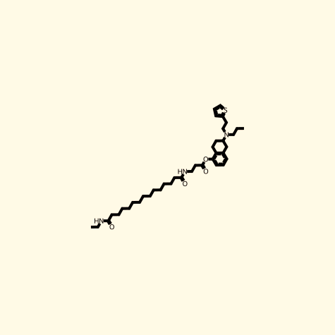 CCCN(CCc1cccs1)C1CCc2c(cccc2OC(=O)CCNC(=O)CCCCCCCCCCCCCC(=O)NCC)C1